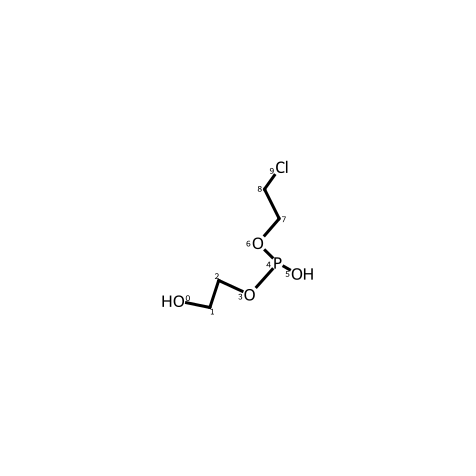 OCCOP(O)OCCCl